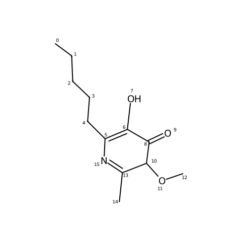 CCCCCC1=C(O)C(=O)C(OC)C(C)=N1